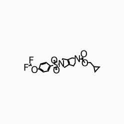 O=C(OCC1CC1)N1CC2=C(C1)CN(S(=O)(=O)c1ccc(OC(F)F)cc1)C2